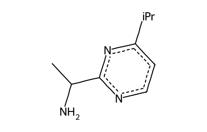 CC(C)c1ccnc(C(C)N)n1